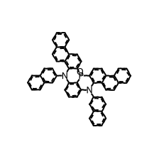 O=P12c3ccc4c(ccc5ccccc54)c3N(c3ccc4ccccc4c3)c3cccc(c31)N(c1ccc3ccccc3c1)c1c2ccc2c1ccc1ccccc12